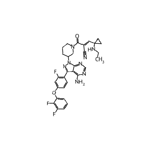 CCNC1(C=C(C#N)C(=O)N2CCCC(n3nc(-c4ccc(Oc5cccc(F)c5F)cc4F)c4c(N)ncnc43)C2)CC1